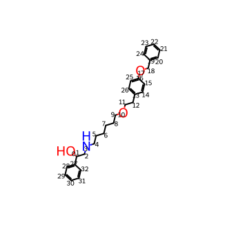 OC(CNCCCCCCOCCc1ccc(OCc2ccccc2)cc1)c1ccccc1